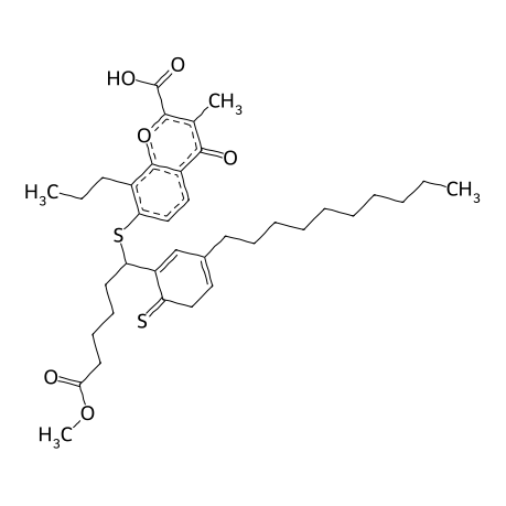 CCCCCCCCCCC1=CCC(=S)C(C(CCCCC(=O)OC)Sc2ccc3c(=O)c(C)c(C(=O)O)oc3c2CCC)=C1